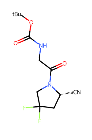 CC(C)(C)OC(=O)NCC(=O)N1CC(F)(F)C[C@H]1C#N